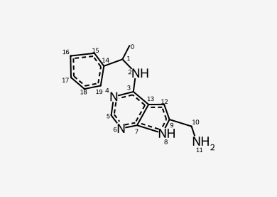 CC(Nc1ncnc2[nH]c(CN)cc12)c1ccccc1